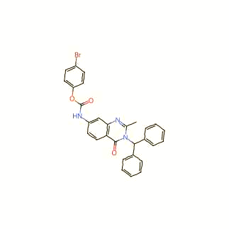 Cc1nc2cc(NC(=O)Oc3ccc(Br)cc3)ccc2c(=O)n1C(c1ccccc1)c1ccccc1